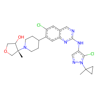 CC1(n2ncc(Nc3ncc4cc(Cl)c(C5CCN([C@]6(C)COCC6O)CC5)cc4n3)c2Cl)CC1